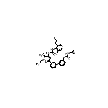 C=C1C(NC(=O)Nc2c(Cl)cncc2CCI)=CC(c2cccc(-c3cccc(CC(=O)NC4CC4)c3)c2)=NN1CC